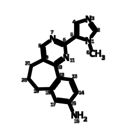 Cn1cncc1-c1ncc2c(n1)-c1ccc(N)cc1CCC2